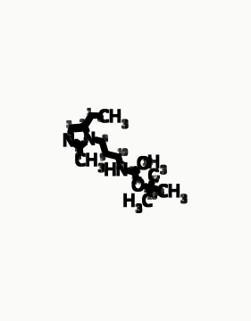 CCc1cnc(C)n1CCCNC(=O)OC(C)(C)C